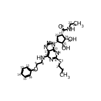 CCCSc1nc(NCCOc2ccccc2)c2nnn([C@@H]3C[C@H](C(=O)NCC)[C@@H](O)[C@H]3O)c2n1